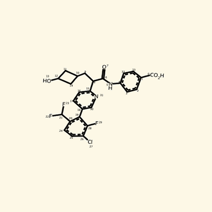 O=C(O)c1ccc(NC(=O)C(CC2CC(O)C2)c2ccc(-c3c(C(F)F)ccc(Cl)c3F)cn2)cc1